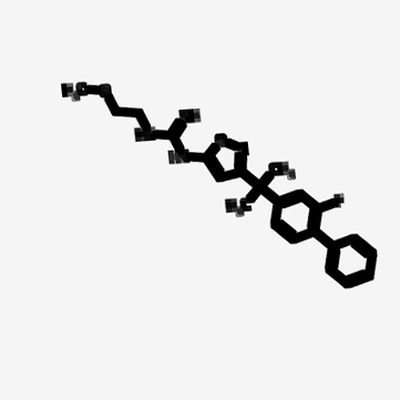 COCCNC(=N)Nc1cc(C(C)(C)c2ccc(-c3ccccc3)c(F)c2)no1